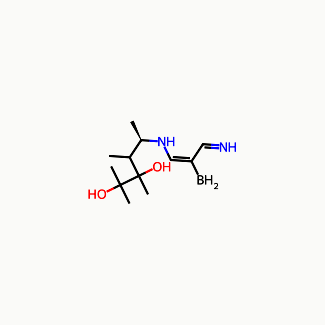 B/C(C=N)=C/N[C@H](C)C(C)C(C)(O)C(C)(C)O